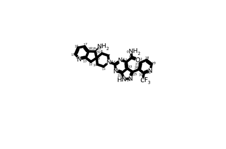 NC(=O)c1nc(N2CCC3(CC2)Cc2ncccc2[C@H]3N)nc2[nH]nc(-c3cccnc3C(F)(F)F)c12